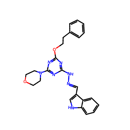 C(=N\Nc1nc(OCCc2ccccc2)nc(N2CCOCC2)n1)/c1c[nH]c2ccccc12